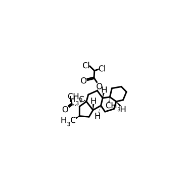 CC(=O)[C@H]1[C@H](C)C[C@H]2[C@@H]3CC[C@H]4CCCC[C@]4(C)[C@H]3[C@@H](OC(=O)C(Cl)Cl)C[C@@]21C